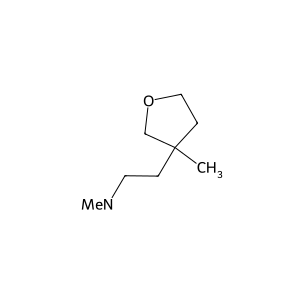 CNCCC1(C)CCOC1